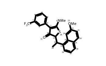 CNC1=C(c2cccc(C(F)(F)F)c2)C(=O)C(C(C)c2cccc3ccc(OC)cc23)S1